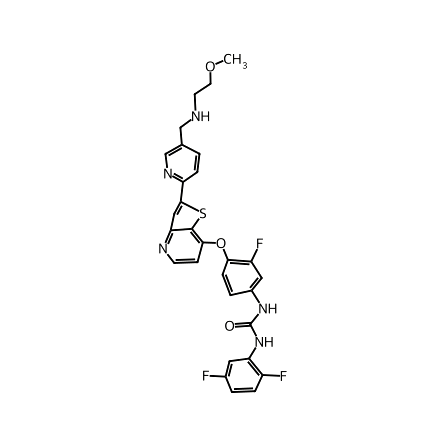 COCCNCc1ccc(-c2cc3nccc(Oc4ccc(NC(=O)Nc5cc(F)ccc5F)cc4F)c3s2)nc1